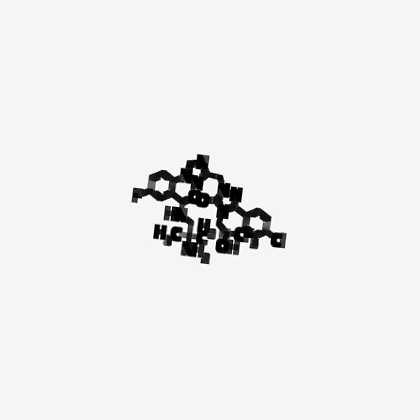 CC(C)(N)CNC(=O)c1cc(F)ccc1-n1cnc(Cn2nc(-c3ccc(Cl)cc3)n(C[C@H](O)C(F)(F)F)c2=O)n1